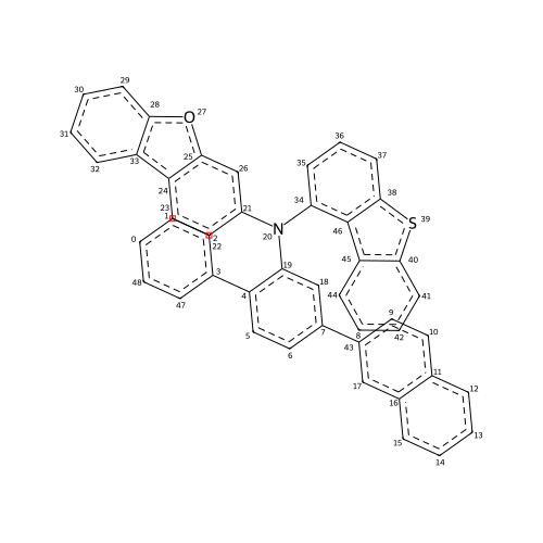 c1ccc(-c2ccc(-c3ccc4ccccc4c3)cc2N(c2ccc3c(c2)oc2ccccc23)c2cccc3sc4ccccc4c23)cc1